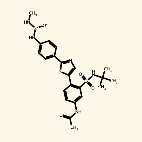 CN[S+]([O-])Nc1ccc(-c2ncc(-c3ccc(NC(C)=O)cc3S(=O)(=O)NC(C)(C)C)s2)cc1